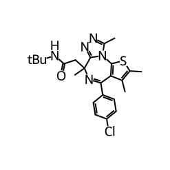 Cc1sc2c(c1C)C(c1ccc(Cl)cc1)=NC(C)(CC(=O)NC(C)(C)C)c1nnc(C)n1-2